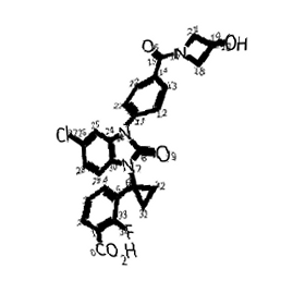 O=C(O)c1cccc(C2(n3c(=O)n(-c4ccc(C(=O)N5CC(O)C5)cc4)c4cc(Cl)ccc43)CC2)c1F